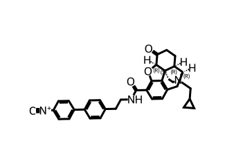 [C-]#[N+]c1ccc(-c2ccc(CCNC(=O)c3ccc4c5c3O[C@H]3C(=O)CC[C@H]6[C@@H](C4)N(CC4CC4)CC[C@]536)cc2)cc1